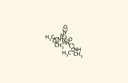 Cc1[nH]c2ccc(NC(=O)c3cc(N4CCOCC4)nc(N4C[C@@H](C)O[C@@H](C)C4)n3)cc2c1C